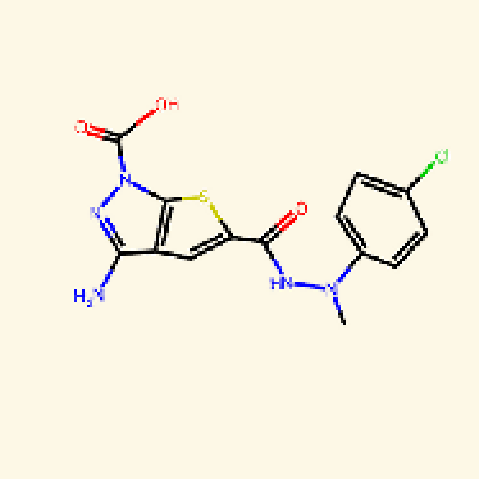 CN(NC(=O)c1cc2c(N)nn(C(=O)O)c2s1)c1ccc(Cl)cc1